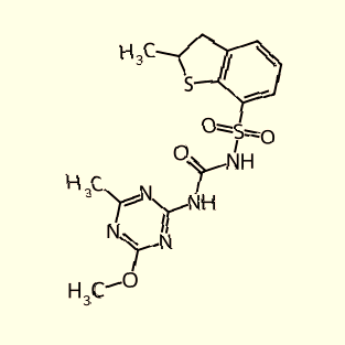 COc1nc(C)nc(NC(=O)NS(=O)(=O)c2cccc3c2SC(C)C3)n1